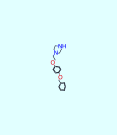 c1ccc(COc2ccc(OCCN3CCNCC3)cc2)cc1